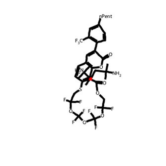 CCCCCc1ccc(-c2cc3ccc(SCC(F)(F)OC(F)(F)OC(F)(F)OC(F)(F)COC(=O)C(C)(CC(C)(C)N)C(C)(C)N)cc3oc2=O)c(C(F)(F)F)c1